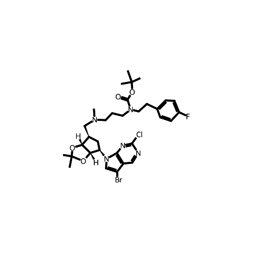 CN(CCCN(CCc1ccc(F)cc1)C(=O)OC(C)(C)C)C[C@H]1C[C@@H](n2cc(Br)c3cnc(Cl)nc32)[C@@H]2OC(C)(C)O[C@H]12